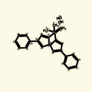 Cl.Cl.[CH3][Zr]([CH3])(=[SiH2])([C]1=CC(c2ccccc2)=CC1)[C]1=CC(c2ccccc2)=CC1